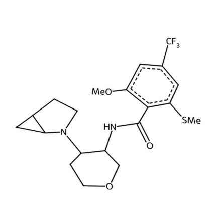 COc1cc(C(F)(F)F)cc(SC)c1C(=O)NC1COCCC1N1CCC2CC21